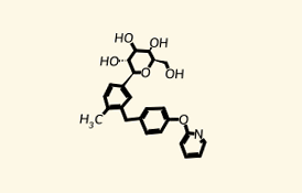 Cc1ccc([C@@H]2O[C@H](CO)[C@@H](O)C(O)[C@H]2O)cc1Cc1ccc(Oc2ccccn2)cc1